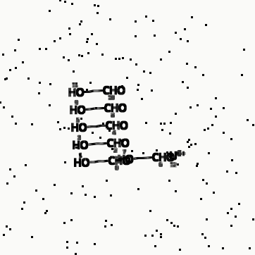 O=[C-]O.O=[C-]O.O=[C-]O.O=[C-]O.O=[C-]O.O=[C-]O.[U+6]